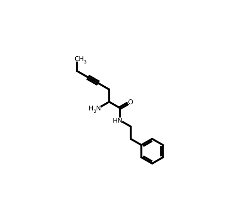 CCC#CCC(N)C(=O)NCCc1ccccc1